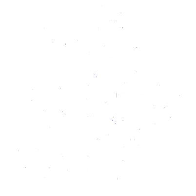 CC(C)(C)c1ccc(N2c3cc(N(c4ccccc4)c4ccc5c(c4)C(C)(C)CCC5(C)C)cc4c3B(c3cc(C(C)(C)C)cc5c3N4c3ccc(C(C)(C)C)cc3O5)c3sc4ccc(C(C)(C)C)cc4c32)cc1